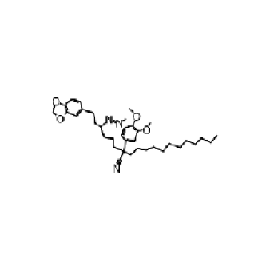 CCCCCCCCCCCCC(C#N)(CCCC(CCc1ccc2c(c1)OCO2)/N=N/C)c1ccc(OC)c(OC)c1